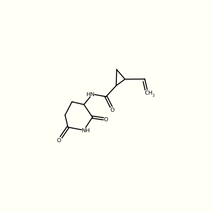 C=CC1CC1C(=O)NC1CCC(=O)NC1=O